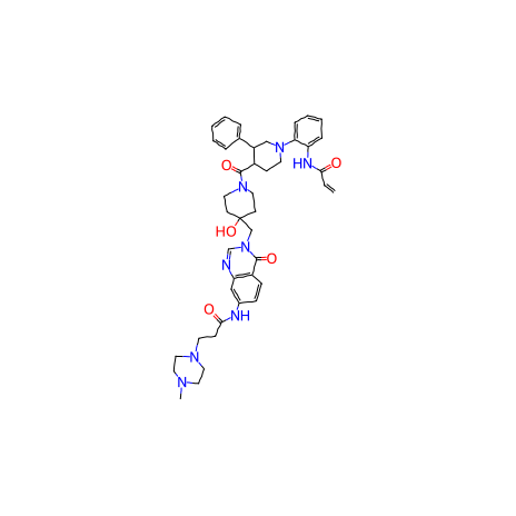 C=CC(=O)Nc1ccccc1N1CCC(C(=O)N2CCC(O)(Cn3cnc4cc(NC(=O)CCN5CCN(C)CC5)ccc4c3=O)CC2)C(c2ccccc2)C1